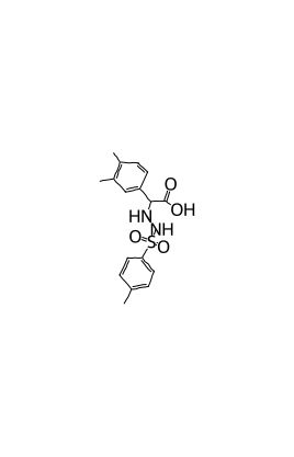 Cc1ccc(S(=O)(=O)NNC(C(=O)O)c2ccc(C)c(C)c2)cc1